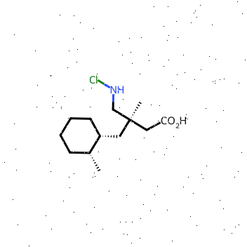 C[C@@H]1CCCC[C@@H]1C[C@@](C)(CNCl)CC(=O)O